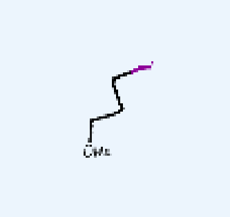 [CH2]OCCCI